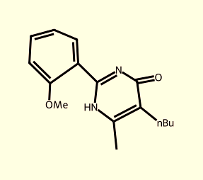 CCCCc1c(C)[nH]c(-c2ccccc2OC)nc1=O